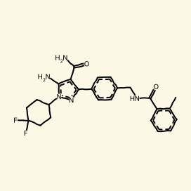 Cc1ccccc1C(=O)NCc1ccc(-c2nn(C3CCC(F)(F)CC3)c(N)c2C(N)=O)cc1